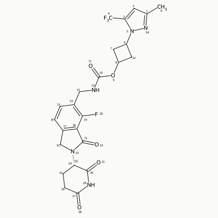 Cc1cc(C(F)(F)F)n(C2CC(OC(=O)NCc3ccc4c(c3F)C(=O)N([C@H]3CCC(=O)NC3=O)C4)C2)n1